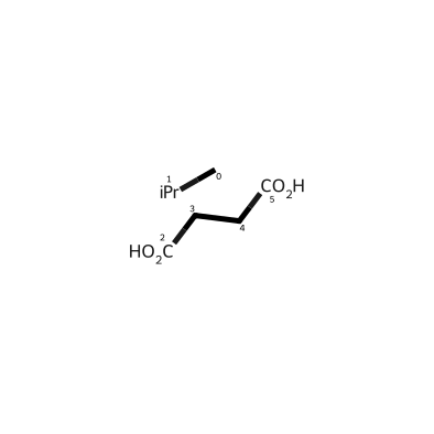 CC(C)C.O=C(O)CCC(=O)O